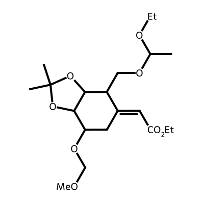 CCOC(=O)C=C1CC(OCOC)C2OC(C)(C)OC2C1COC(C)OCC